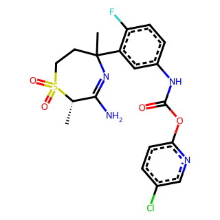 C[C@H]1C(N)=NC(C)(c2cc(NC(=O)Oc3ccc(Cl)cn3)ccc2F)CCS1(=O)=O